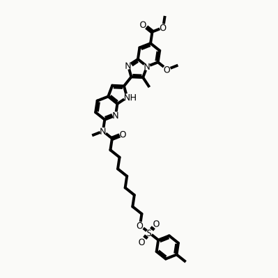 COC(=O)c1cc(OC)n2c(C)c(-c3cc4ccc(N(C)C(=O)CCCCCCCCOS(=O)(=O)c5ccc(C)cc5)nc4[nH]3)nc2c1